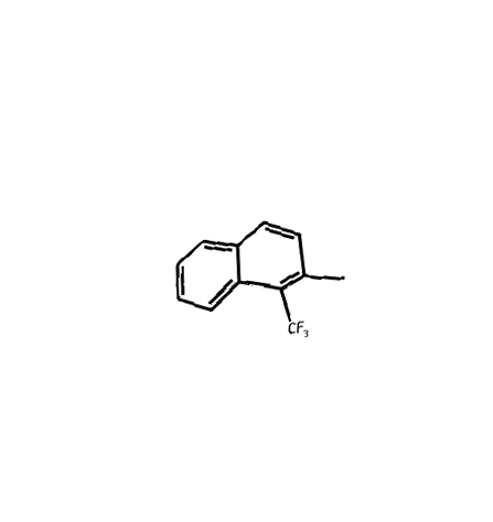 Cc1ccc2ccccc2c1C(F)(F)F